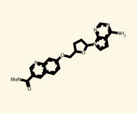 CNC(=O)c1cnc2cc(OCC3CCC(n4ccc5c(N)ncnc54)O3)ccc2c1